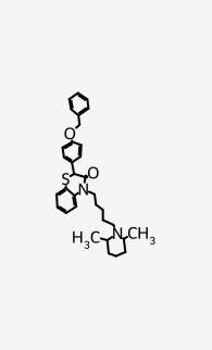 CC1CCCC(C)N1CCCCCN1C(=O)C(c2ccc(OCc3ccccc3)cc2)Sc2ccccc21